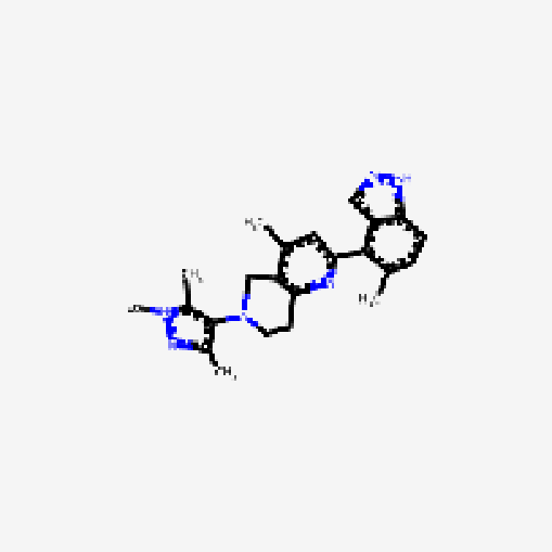 CCn1nc(C)c(N2CCc3nc(-c4c(C)ccc5[nH]ncc45)cc(C)c3C2)c1C